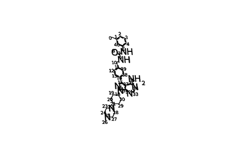 Cc1cccc(NC(=O)NCc2ccc(-c3nn([C@H]4CC[C@H](N5CCN(C)CC5)CC4)c4ncnc(N)c34)cc2)c1